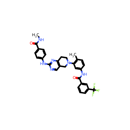 CNC(=O)c1ccc(Nc2ncc3c(n2)CCN(c2cc(NC(=O)c4cccc(C(F)(F)F)c4)ccc2C)C3)cc1